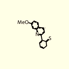 COc1ccc2[c]cc(C3=CC=CCC3=S)nc2c1